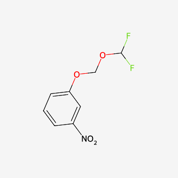 O=[N+]([O-])c1cccc(OCOC(F)F)c1